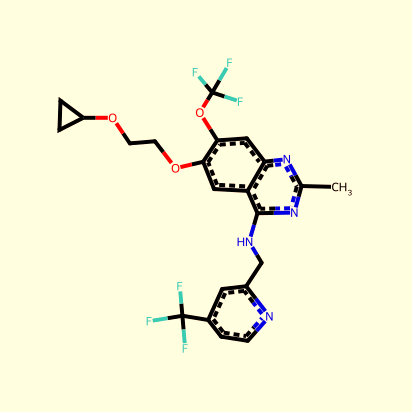 Cc1nc(NCc2cc(C(F)(F)F)ccn2)c2cc(OCCOC3CC3)c(OC(F)(F)F)cc2n1